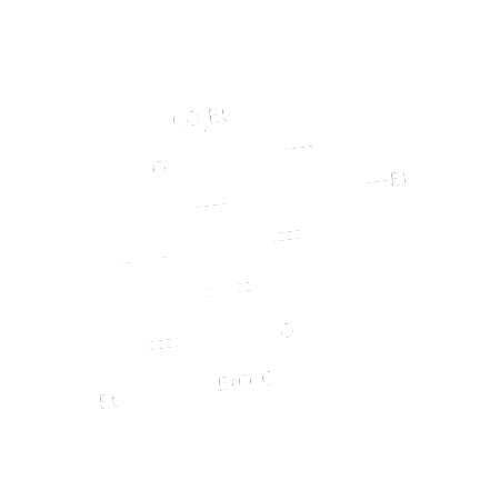 CCOC(=O)Oc1c2ccc(CC)cc2c(OC(=O)OCC)c2cc(CC)ccc12